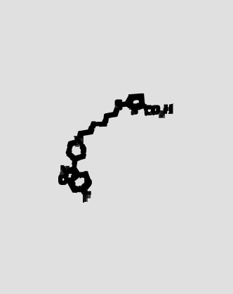 O=C(O)c1ccc(SCCCCCCN2CCC(c3noc4cc(F)ccc34)CC2)s1